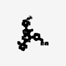 Cc1c(-c2ccn(C(C)C)n2)sc2nc(-c3nccn3C)nc(N3CCC(CC=O)C3)c12